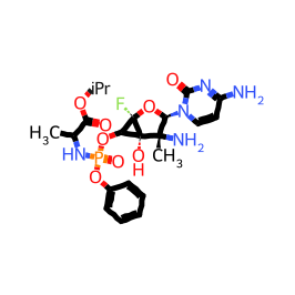 CC(C)OC(=O)C(C)NP(=O)(Oc1ccccc1)OC1[C@]2(O)[C@@](C)(N)[C@H](n3ccc(N)nc3=O)O[C@]12F